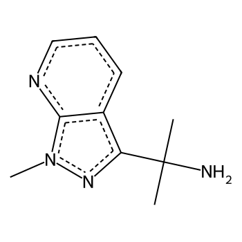 Cn1nc(C(C)(C)N)c2cccnc21